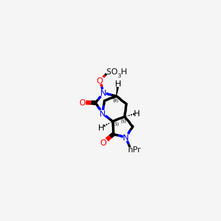 CCCN1C[C@@H]2C[C@@H]3CN(C(=O)N3OS(=O)(=O)O)[C@@H]2C1=O